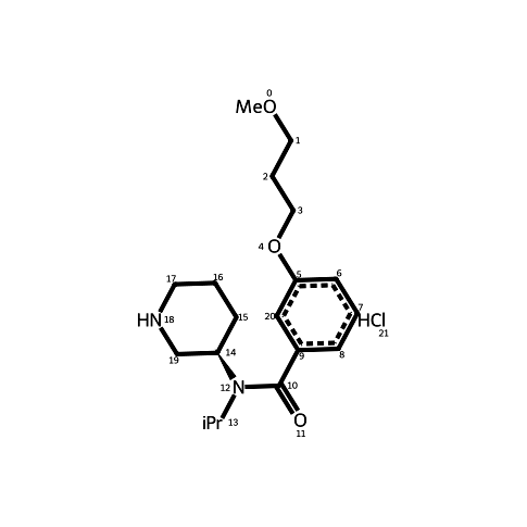 COCCCOc1cccc(C(=O)N(C(C)C)[C@@H]2CCCNC2)c1.Cl